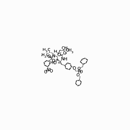 CC(C)CN(C[C@@H](O)[C@H](Cc1ccc(OCP(=O)(OCc2ccccc2)OCc2ccccc2)cc1)NC(=O)OC(C)(C)C)S(=O)(=O)c1cccc([N+](=O)[O-])c1